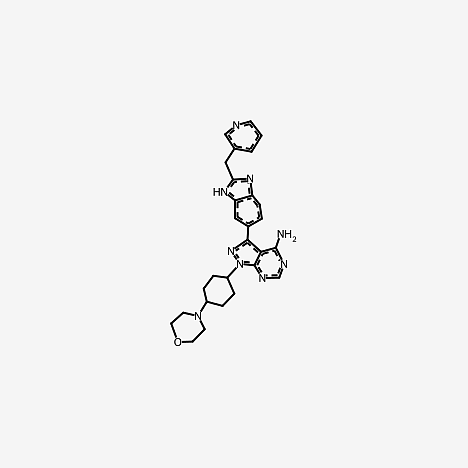 Nc1ncnc2c1c(-c1ccc3nc(Cc4cccnc4)[nH]c3c1)nn2C1CCC(N2CCOCC2)CC1